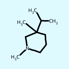 CC(C)C1(C)CCCN(C)C1